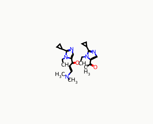 CCn1c(C(=O)C=CN(C)C)cnc1C1CC1.CCn1c(C(C)=O)cnc1C1CC1